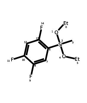 CCO[Si](C)(OCC)c1cc(F)c(F)cc1F